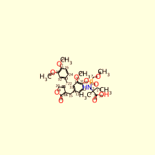 CCC(C)(NP(=O)(COC)Oc1ccc(C[C@H]2C(=O)OC[C@@H]2Cc2ccc(OC)c(OC)c2)cc1OC)C(=O)O